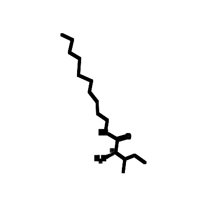 CCCCCCCCCCNC(=O)[C@@H](N)C(C)CC